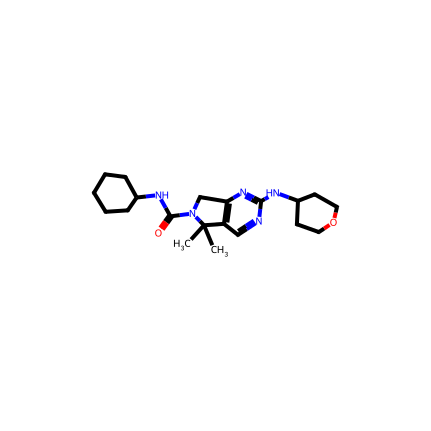 CC1(C)c2cnc(NC3CCOCC3)nc2CN1C(=O)NC1CCCCC1